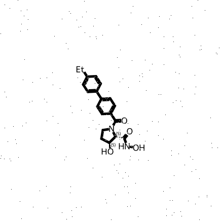 CCc1ccc(-c2ccc(C(=O)N3CC[C@H](O)[C@H]3C(=O)NO)cc2)cc1